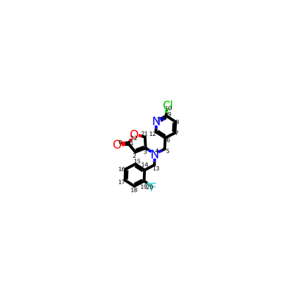 O=C1C=C(N(Cc2ccc(Cl)nc2)Cc2ccccc2F)CO1